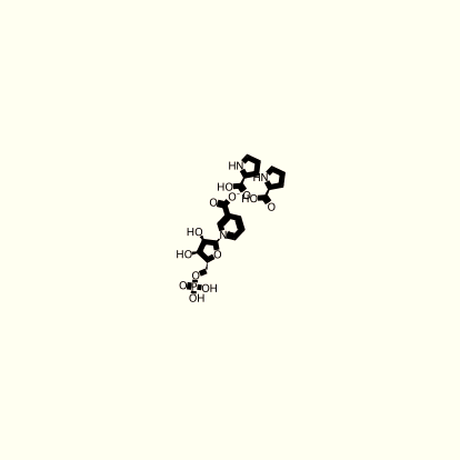 O=C(O)[C@@H]1CCCN1.O=C(O)[C@@H]1CCCN1.O=C([O-])c1ccc[n+]([C@@H]2O[C@H](COP(=O)(O)O)[C@@H](O)[C@H]2O)c1